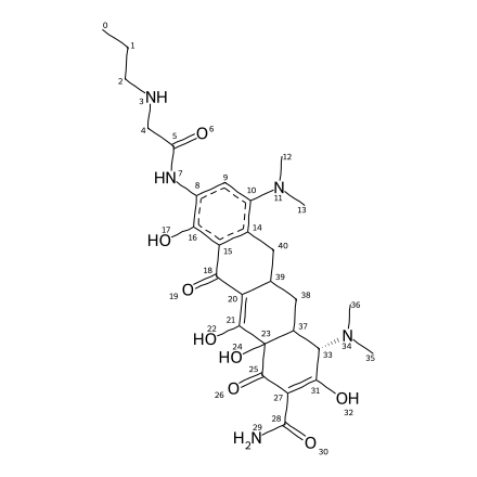 CCCNCC(=O)Nc1cc(N(C)C)c2c(c1O)C(=O)C1=C(O)C3(O)C(=O)C(C(N)=O)=C(O)[C@@H](N(C)C)C3CC1C2